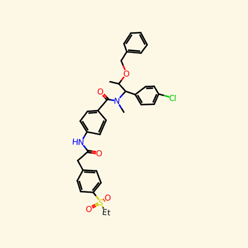 CCS(=O)(=O)c1ccc(CC(=O)Nc2ccc(C(=O)N(C)C(c3ccc(Cl)cc3)C(C)OCc3ccccc3)cc2)cc1